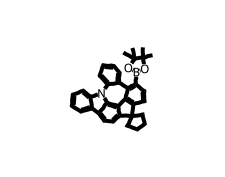 CC1(C)OB(c2ccc3c4c2-c2ccccc2-n2c5ccccc5c5ccc(c-4c52)C32CCCC2)OC1(C)C